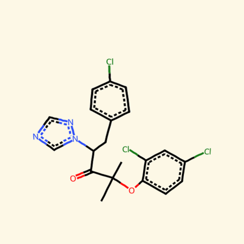 CC(C)(Oc1ccc(Cl)cc1Cl)C(=O)C(Cc1ccc(Cl)cc1)n1cncn1